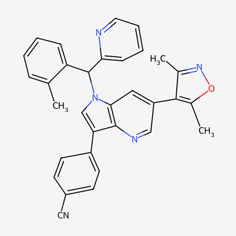 Cc1ccccc1C(c1ccccn1)n1cc(-c2ccc(C#N)cc2)c2ncc(-c3c(C)noc3C)cc21